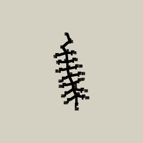 CSCC(F)(F)C(F)(F)C(F)(F)C(F)(F)C(F)(F)C(F)(F)C(F)(F)F